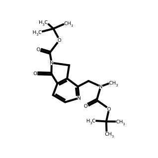 CN(Cc1nccc2c1CN(C(=O)OC(C)(C)C)C2=O)C(=O)OC(C)(C)C